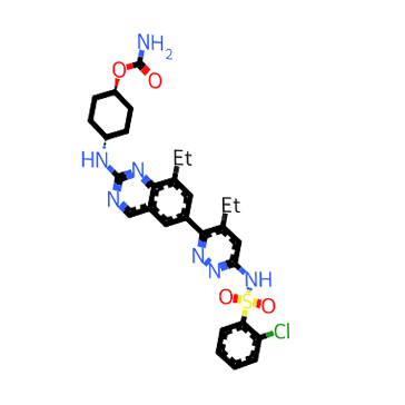 CCc1cc(NS(=O)(=O)c2ccccc2Cl)nnc1-c1cc(CC)c2nc(N[C@H]3CC[C@H](OC(N)=O)CC3)ncc2c1